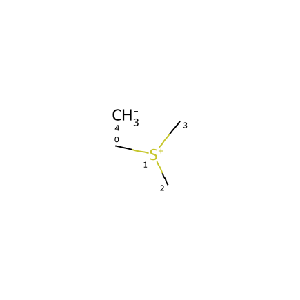 C[S+](C)C.[CH3-]